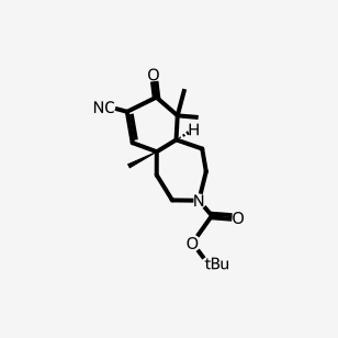 CC(C)(C)OC(=O)N1CC[C@@H]2C(C)(C)C(=O)C(C#N)=C[C@@]2(C)CC1